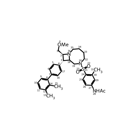 COC[C@@H]1[C@@H](c2ccc(-c3cccc(C)c3C)cc2)C2CN(S(=O)(=O)c3ccc(NC(C)=O)cc3C)CCCCN21